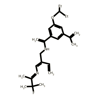 C=C/C(=C\N=C(/C)C(C)(C)F)CNC(=C)c1cc(OC(CC)CC)cc(C(=C)C)c1